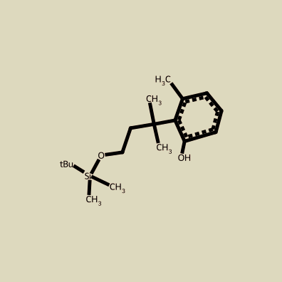 Cc1cccc(O)c1C(C)(C)CCO[Si](C)(C)C(C)(C)C